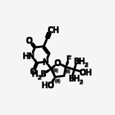 BC(B)(O)[C@]1(F)C[C@@H](O)[C@](B)(n2cc(C#C)c(=O)[nH]c2=O)O1